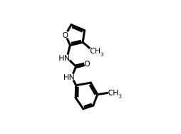 Cc1cccc(NC(=O)Nc2occc2C)c1